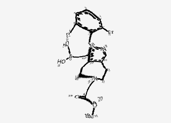 CCc1cccc(CC)c1-n1nc2c(c1B(O)O)CN(C(=O)OC(C)(C)C)CC2